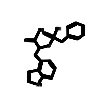 O=C(O)C(Cc1cccc2[nH]ccc12)OP(=O)(O)Cc1ccccc1